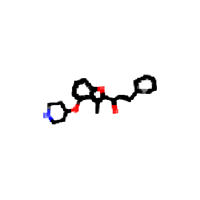 Cc1c(C(=O)/C=C/c2ccccc2)oc2cccc(OC3CCNCC3)c12